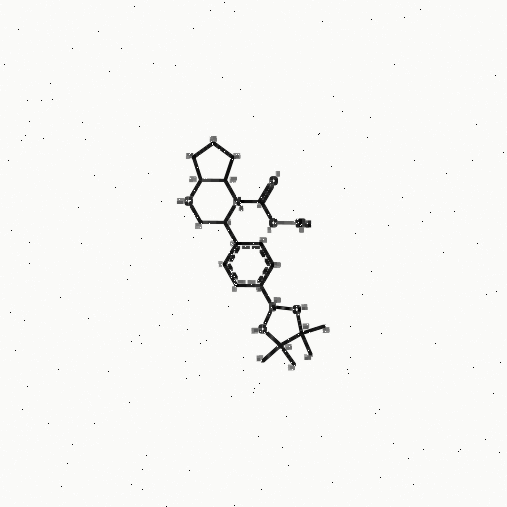 CC(C)(C)OC(=O)N1C(c2ccc(B3OC(C)(C)C(C)(C)O3)cc2)COC2CCCC21